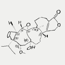 CO[C@@H]1[C@@]2(C(C)C)O[C@H]2[C@@H]2O[C@@]23[C@@]2(C)CCC4=C(COC4=O)[C@@H]2CC[C@@]13O